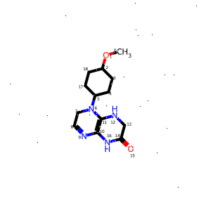 COC1CCC(N2CC=NC3=C2NCC(=O)N3)CC1